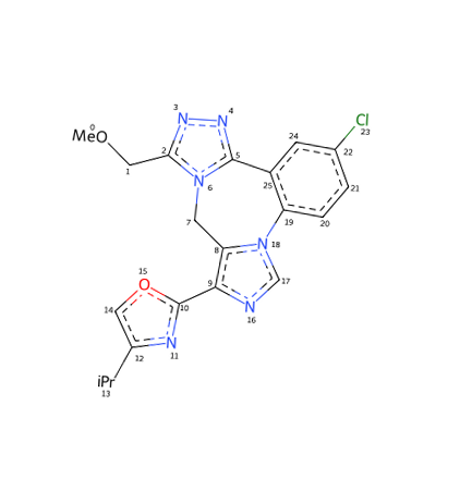 COCc1nnc2n1Cc1c(-c3nc(C(C)C)co3)ncn1-c1ccc(Cl)cc1-2